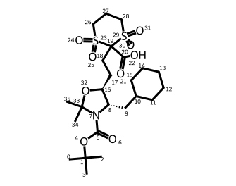 CC(C)(C)OC(=O)N1[C@@H](CC2CCCCC2)[C@H](CCC2(C(=O)O)S(=O)(=O)CCCS2(=O)=O)OC1(C)C